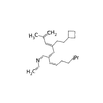 C=C\N=C/C(/C=C\CCC(C)C)=C\C(=C\C(=C)C)CCC1CCC1